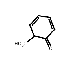 O=C(O)C1C=CC=[C]C1=O